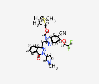 CN1CCC(n2nc(Cc3nc4cc(OCC(F)F)c(C#N)cc4n3COCCS(C)(C)C)c3ccccc3c2=O)C1